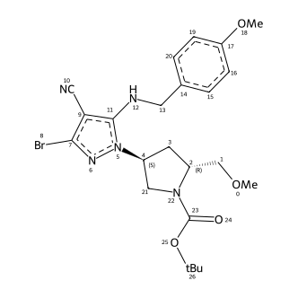 COC[C@H]1C[C@H](n2nc(Br)c(C#N)c2NCc2ccc(OC)cc2)CN1C(=O)OC(C)(C)C